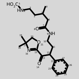 CC(CCNC(=O)O)CC(=O)NCCC(C(=O)C1=NC(C)(C)CO1)c1ccccc1